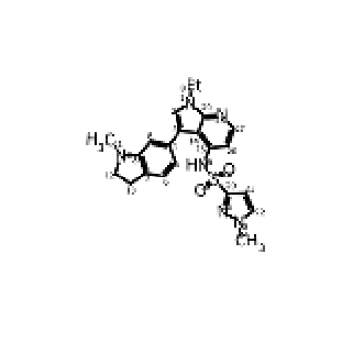 CCn1cc(-c2ccc3c(c2)N(C)CC3)c2c(NS(=O)(=O)c3ccn(C)n3)ccnc21